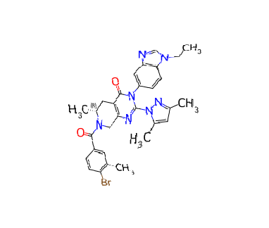 CCn1cnc2cc(-n3c(-n4nc(C)cc4C)nc4c(c3=O)C[C@@H](C)N(C(=O)c3ccc(Br)c(C)c3)C4)ccc21